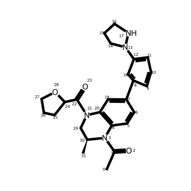 CC(=O)N1c2ccc(-c3cccc(N4CCCN4)c3)cc2N(C(=O)C2CCCO2)C[C@@H]1C